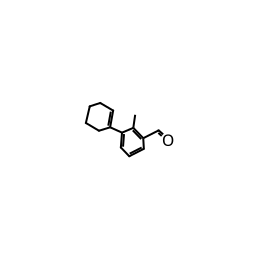 Cc1c(C=O)cccc1C1=CCCCC1